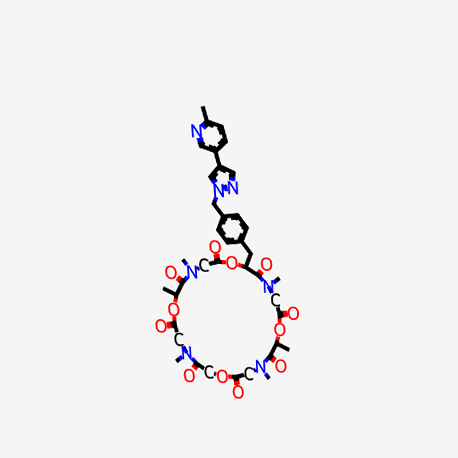 Cc1ccc(-c2cnn(Cc3ccc(CC4OC(=O)CN(C)C(=O)C(C)OC(=O)CN(C)C(=O)COC(=O)CN(C)C(=O)C(C)OC(=O)CN(C)C4=O)cc3)c2)cn1